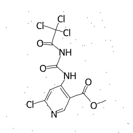 COC(=O)c1cnc(Cl)cc1NC(=O)NC(=O)C(Cl)(Cl)Cl